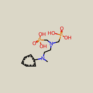 CN(CCN(CP(=O)(O)O)CP(=O)(O)O)c1ccccc1